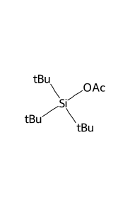 CC(=O)O[Si](C(C)(C)C)(C(C)(C)C)C(C)(C)C